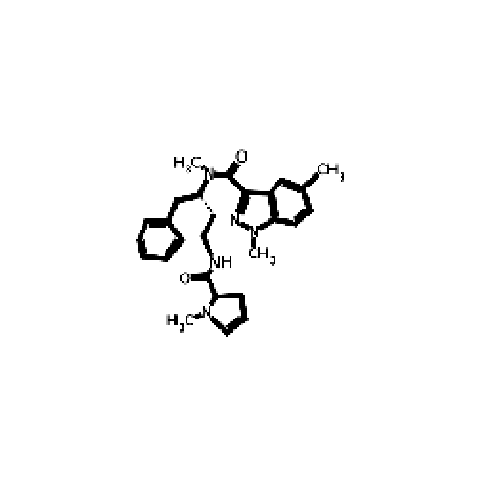 Cc1ccc2c(c1)c(C(=O)N(C)[C@H](CCNC(=O)C1CC=CN1C)Cc1ccccc1)nn2C